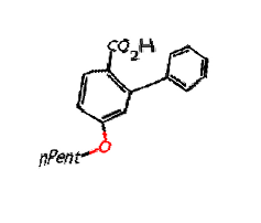 CCCCCOc1ccc(C(=O)O)c(-c2ccccc2)c1